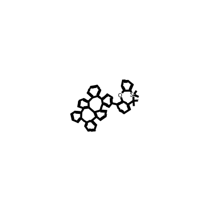 CC1(C)c2cccc(-c3ccc4c(c3)c3cccc5c3-c3c(cccc3c3ccccc34)c3ccccc3c3ccccc53)c2Oc2ccccc2[Si]1(C)C